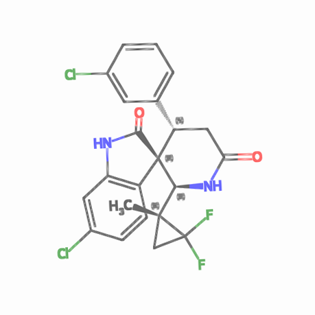 C[C@]1([C@@H]2NC(=O)C[C@@H](c3cccc(Cl)c3)[C@]23C(=O)Nc2cc(Cl)ccc23)CC1(F)F